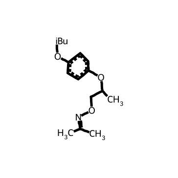 CCC(C)Oc1ccc(OC(C)CON=C(C)C)cc1